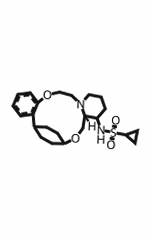 O=S(=O)(NC1CCCN2CCOc3ccccc3C3CCC(CC3)OC[C@@H]12)C1CC1